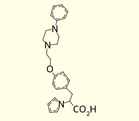 O=C(O)C(Cc1ccc(OCCN2CCN(c3ccccc3)CC2)cc1)n1cccc1